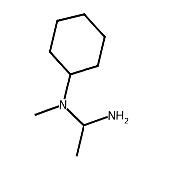 CC(N)N(C)C1CCCCC1